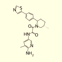 Cc1cc(NC(=O)C(=O)N2C[C@@H](C)CCC2c2ccc(-c3cncs3)cc2)cnc1N